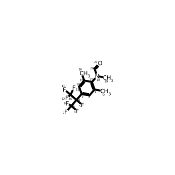 Cc1cc(C(F)(C(F)(F)F)C(F)(F)F)cc(C)c1N(C)C=O